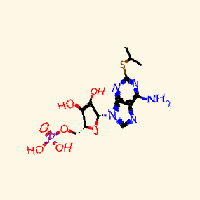 CC(C)Sc1nc(N)c2ncn([C@@H]3O[C@H](COP(=O)(O)O)C(O)C3O)c2n1